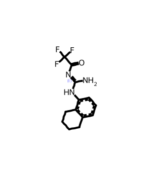 N/C(=N\C(=O)C(F)(F)F)Nc1cccc2c1CCCC2